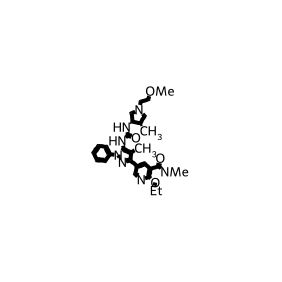 CCOc1ncc(-c2nn(-c3ccccc3)c(NC(=O)N[C@@H]3CN(CCOC)C[C@H]3C)c2C)cc1C(=O)NC